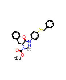 CCN(C(=O)OC(C)(C)C)[C@@H](Cc1ccccc1)C(=O)Nc1ccc(SCc2ccccc2)cc1